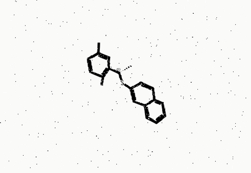 Cc1ccc(C)c([C@H](C)Sc2ccc3ccccc3c2)c1